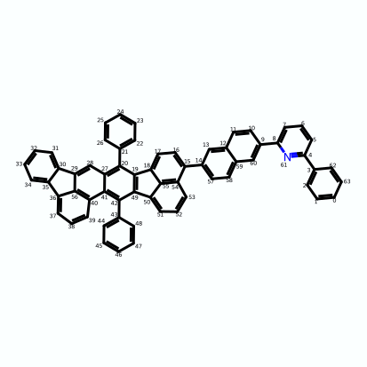 c1ccc(-c2cccc(-c3ccc4cc(-c5ccc6c7c(-c8ccccc8)c8cc9c%10ccccc%10c%10cccc(c8c(-c8ccccc8)c7c7cccc5c67)c%109)ccc4c3)n2)cc1